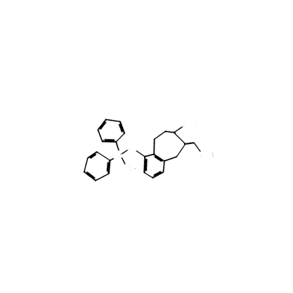 CC(C)(C)[Si](Oc1cccc2c1CCC(O)C(CO)C2)(c1ccccc1)c1ccccc1